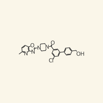 Cc1ccc2oc(N3CCN(C(=O)c4cc(Cl)cc(-c5ccc(CO)cc5)c4)CC3)nc2n1